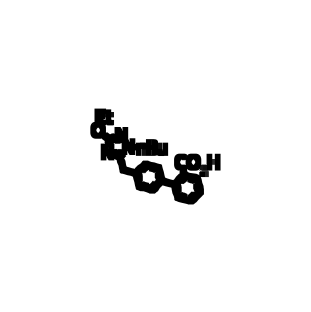 CCCCn1nc(OCC)nc1Cc1ccc(-c2ccccc2C(=O)O)cc1